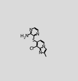 Cc1cn2ccc(Sc3nccnc3N)c(Cl)c2n1